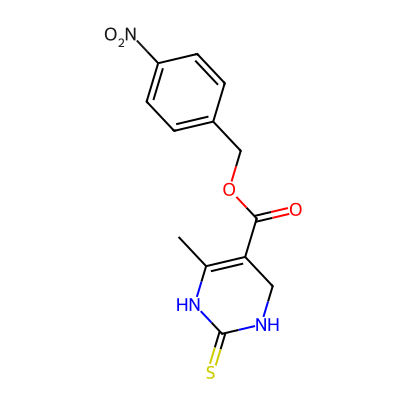 CC1=C(C(=O)OCc2ccc([N+](=O)[O-])cc2)CNC(=S)N1